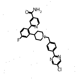 NC(=O)c1ccnc(-c2ccc(F)cc2C2CCN(Cc3ccc(-c4ncc(Cl)cn4)cc3)CC2)c1